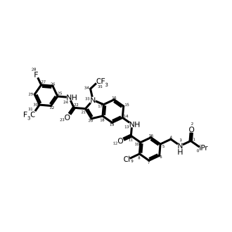 CC(C)C(=O)NCc1ccc(Cl)c(C(=O)Nc2ccc3c(c2)cc(C(=O)Nc2cc(F)cc(C(F)(F)F)c2)n3CC(F)(F)F)c1